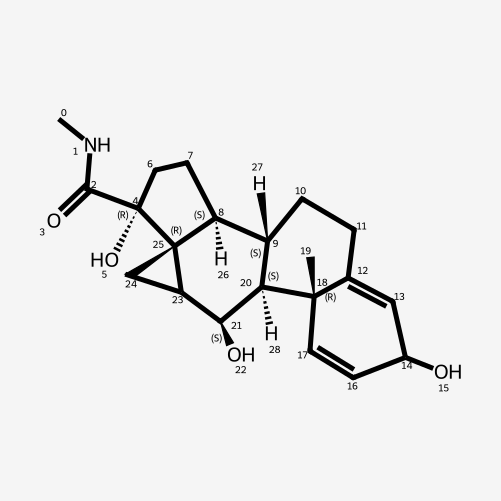 CNC(=O)[C@@]1(O)CC[C@H]2[C@@H]3CCC4=CC(O)C=C[C@]4(C)[C@H]3[C@@H](O)C3C[C@]321